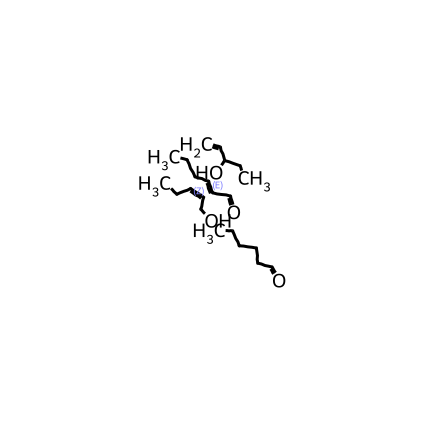 C=CC(O)CC.CC/C=C\CO.CCC/C=C/C=O.CCCCCC=O